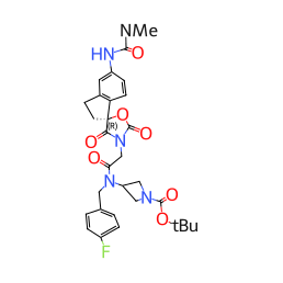 CNC(=O)Nc1ccc2c(c1)CC[C@@]21OC(=O)N(CC(=O)N(Cc2ccc(F)cc2)C2CN(C(=O)OC(C)(C)C)C2)C1=O